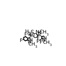 CC1c2nn(C)c(-c3cnn(C)c3C(F)(F)F)c2CCN1C(=O)c1nn(C)c2cc(F)cc(F)c12